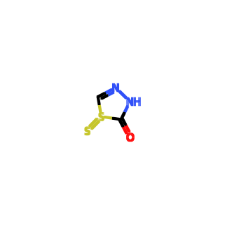 O=C1NN=CS1=S